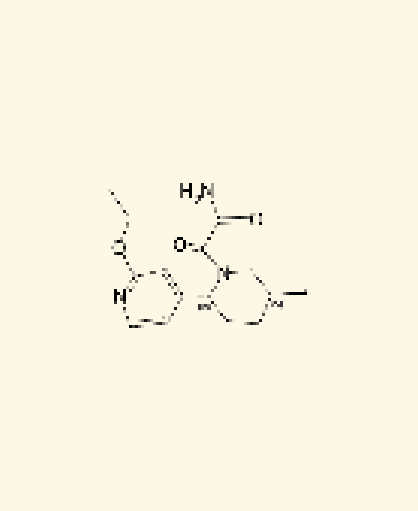 CCOc1cc([C@H]2CC[C@H](C)CN2C(=O)C(N)=O)ccn1